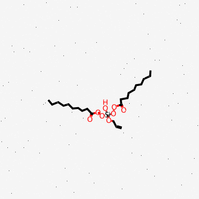 C=CCO[Si](O)(OOC(=O)CCCCCCCCC)OOC(=O)CCCCCCCCC